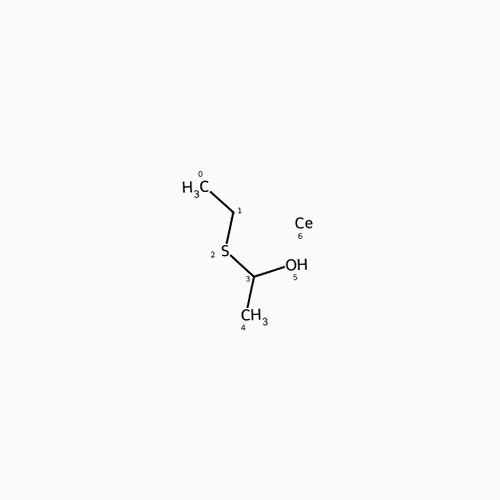 CCSC(C)O.[Ce]